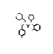 [CH]c1ccc(CN(CC2CCNCC2)C(=O)N(c2ccccc2N)C2CCCC2)cc1